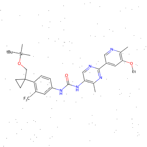 CCOc1cc(-c2ncc(NC(=O)Nc3ccc(C4(CO[Si](C)(C)C(C)(C)C)CC4)c(C(F)(F)F)c3)c(C)n2)cnc1C